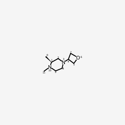 C[C@H]1CN(C2COC2)CCN1C